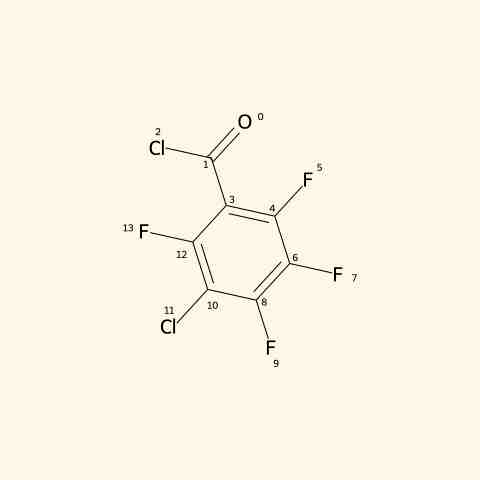 O=C(Cl)c1c(F)c(F)c(F)c(Cl)c1F